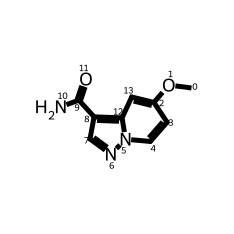 COc1ccn2ncc(C(N)=O)c2c1